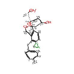 CCc1ccc(Cc2c(Cl)ccc3c2CO[C@@]32CC(O)C[C@@H](CO)O2)cc1